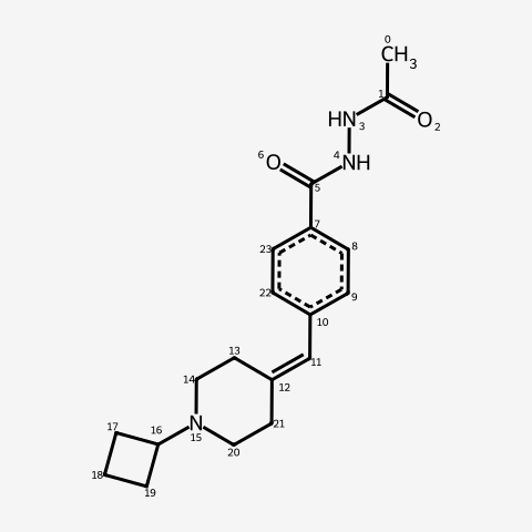 CC(=O)NNC(=O)c1ccc(C=C2CCN(C3CCC3)CC2)cc1